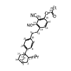 CCCC1CC2CCC1(c1ccc(CCc3ccc(OC(=O)CC)c(C#N)c3C#N)cc1)CC2